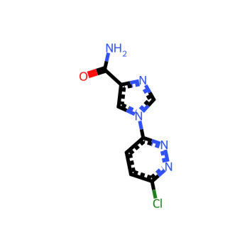 NC(=O)c1cn(-c2ccc(Cl)nn2)cn1